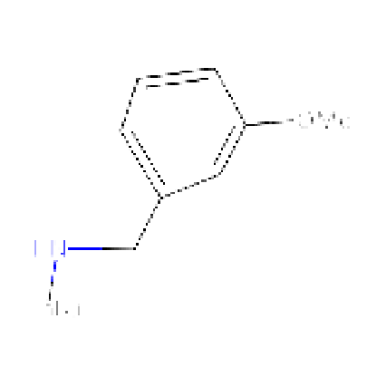 CCCCNCc1cccc(OC)c1